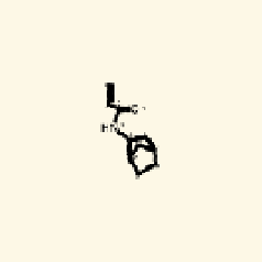 C=CC(=O)NC1CC2CCC1C2